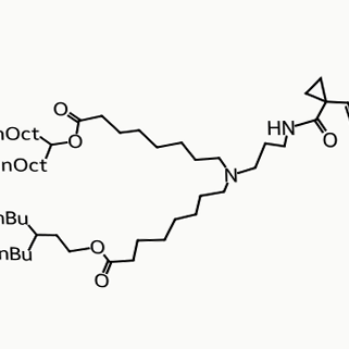 C=CC1(C(=O)NCCCN(CCCCCCCC(=O)OCCC(CCCC)CCCC)CCCCCCCC(=O)OC(CCCCCCCC)CCCCCCCC)CC1